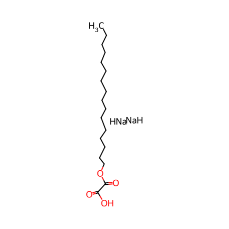 CCCCCCCCCCCCCCCCOC(=O)C(=O)O.[NaH].[NaH]